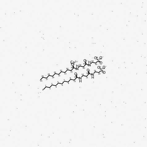 CCCCCCCCCCCC(=O)NCCC(=O)NCCS(=O)(=O)[O-].CCCCCCCCCCCC(=O)NCCC(=O)NCCS(=O)(=O)[O-].[Ca+2]